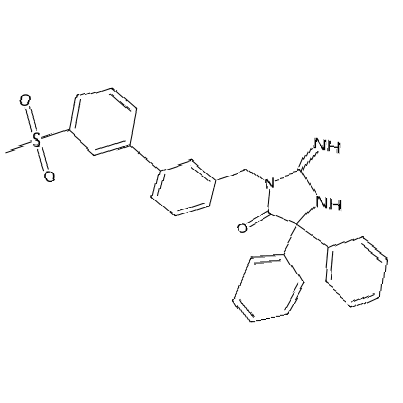 CS(=O)(=O)c1cccc(-c2cccc(CN3C(=N)NC(c4ccccc4)(c4ccccc4)C3=O)c2)c1